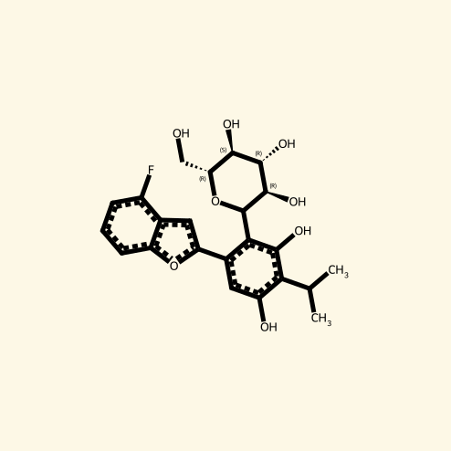 CC(C)c1c(O)cc(-c2cc3c(F)cccc3o2)c(C2O[C@H](CO)[C@@H](O)[C@H](O)[C@H]2O)c1O